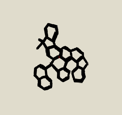 CC1(C)c2ccccc2-c2ccc(N(c3ccccc3-c3cccc4ccc5sc6ccccc6c5c34)c3cccc4ccccc34)cc21